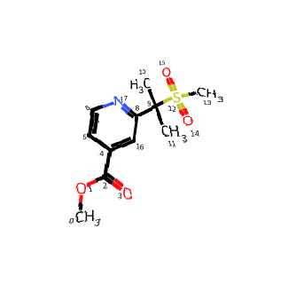 COC(=O)c1ccnc(C(C)(C)S(C)(=O)=O)c1